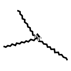 CCCCCCCCCCCCCCC[n+]1ccn(CCCCCCCCCCCCC)c1CCCCCCCCCCCCCC